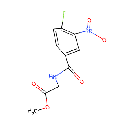 COC(=O)CNC(=O)c1ccc(F)c([N+](=O)[O-])c1